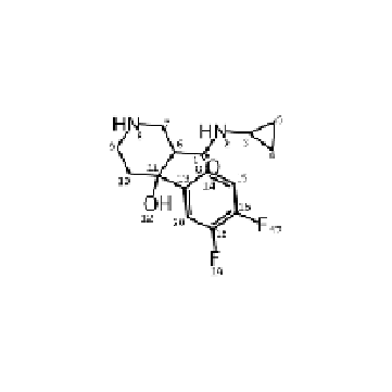 O=C(NC1CC1)C1CNCCC1(O)c1ccc(F)c(F)c1